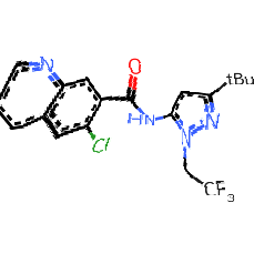 CC(C)(C)c1cc(NC(=O)c2cc3ncccc3cc2Cl)n(CC(F)(F)F)n1